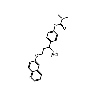 CNC(CCOc1ccc2ncccc2c1)c1ccc(OC(=O)N(C)C)cc1.Cl